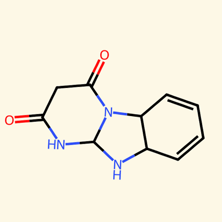 O=C1CC(=O)N2C(N1)NC1C=CC=CC12